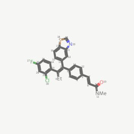 CCC(=C(c1ccc(C=CC(=O)NC)cc1)c1ccc2scnc2c1)c1ccc(F)cc1Cl